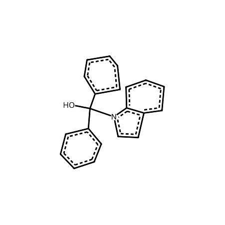 OC(c1ccccc1)(c1ccccc1)n1ccc2ccccc21